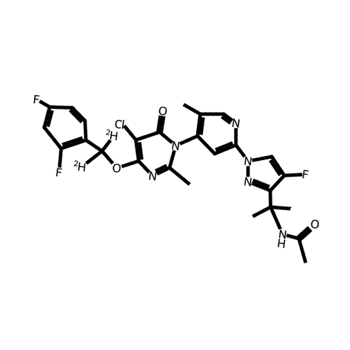 [2H]C([2H])(Oc1nc(C)n(-c2cc(-n3cc(F)c(C(C)(C)NC(C)=O)n3)ncc2C)c(=O)c1Cl)c1ccc(F)cc1F